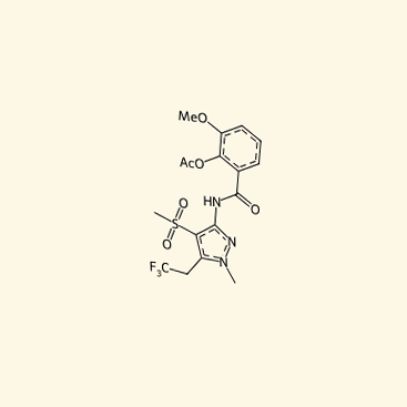 COc1cccc(C(=O)Nc2nn(C)c(CC(F)(F)F)c2S(C)(=O)=O)c1OC(C)=O